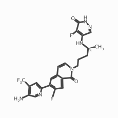 C[C@@H](CCCn1ccc2cc(-c3cc(C(F)(F)F)c(N)cn3)c(F)cc2c1=O)Nc1cn[nH]c(=O)c1F